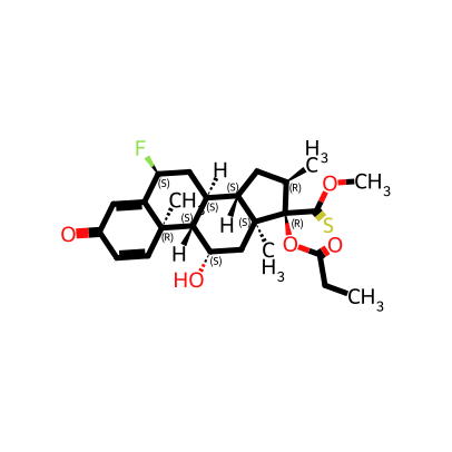 CCC(=O)O[C@]1(C(=S)OC)[C@H](C)C[C@H]2[C@@H]3C[C@H](F)C4=CC(=O)C=C[C@]4(C)[C@H]3[C@@H](O)C[C@@]21C